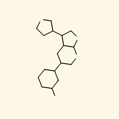 FC(F)(F)C1CCCC(C2CNC3NCC(C4CCOC4)C3C2)C1